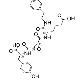 O=C(O)CCC[C@H](NC(=O)[C@H]1O[C@@H]1C(=O)N[C@@H](Cc1ccc(O)cc1)C(=O)O)C(=O)NCCc1ccccc1